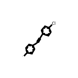 [CH2]c1ccc(C#Cc2ccc(Cl)cc2)cc1